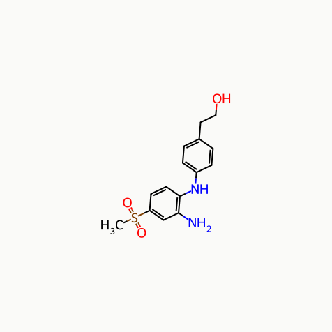 CS(=O)(=O)c1ccc(Nc2ccc(CCO)cc2)c(N)c1